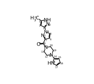 Cc1cc(-n2ccc(C(=O)N3CCN(c4ccc[nH]4)CC3)n2)n[nH]1